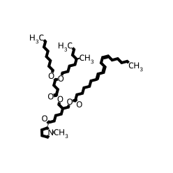 CCCCC/C=C\C/C=C\C=C\CCCCCC(=O)OCC(CCCC(=O)[C@H]1CCCN1C)COC(=O)CCC(OCCCCCCCC)OCCCC[C@H](C)CCC